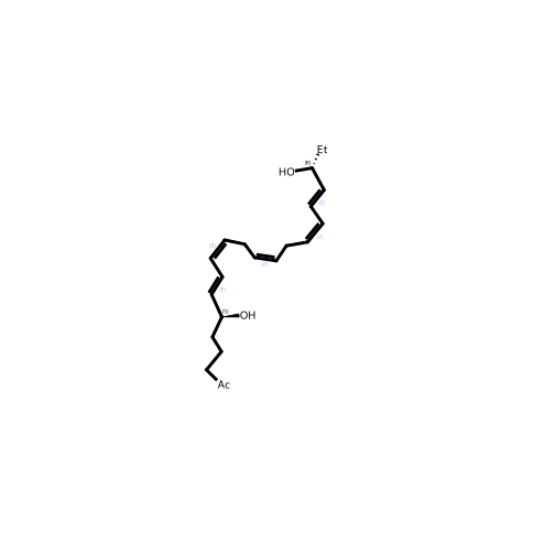 CC[C@@H](O)/C=C/C=C\C/C=C\C/C=C\C=C\[C@@H](O)CCCC(C)=O